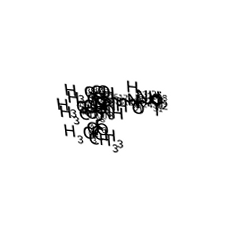 CC(C)(C)OC(=O)CC[C@H](NC(=O)N[C@@H](CCCCNC(=O)[C@@H](N)Cc1ccccc1I)C(=O)OC(C)(C)C)C(=O)OC(C)(C)C